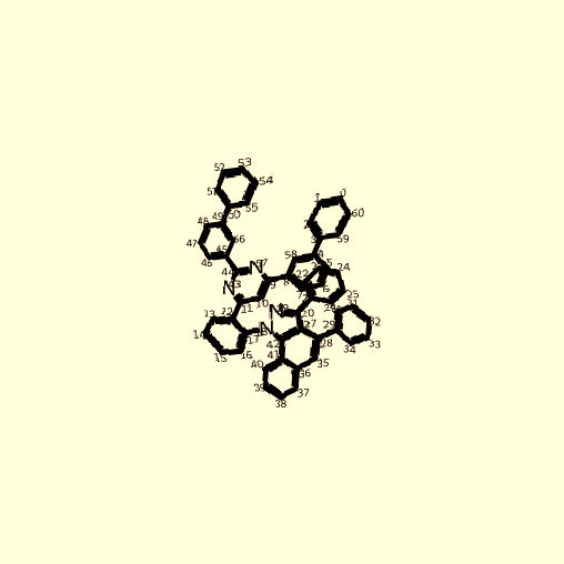 c1ccc(-c2cccc(-c3cc(-c4ccccc4-n4nc(-c5ccccc5)c5c(-c6ccccc6)cc6ccccc6c54)nc(-c4cccc(-c5ccccc5)c4)n3)c2)cc1